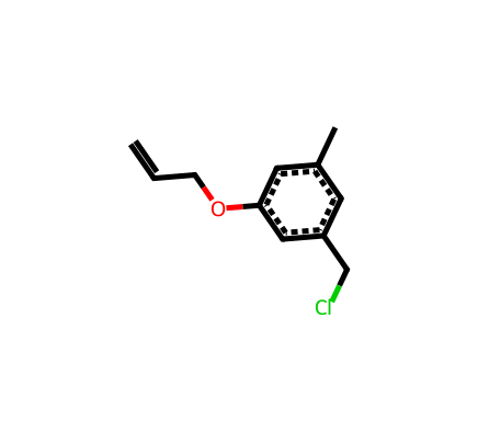 C=CCOc1cc(C)cc(CCl)c1